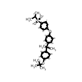 CC(C)S(=O)(=O)c1ccc(Oc2ccc(C(C)(C)c3ccc(OC(C)(C)C)cc3)cc2)cc1